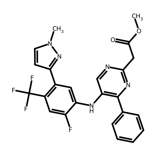 COC(=O)Cc1ncc(Nc2cc(-c3ccn(C)n3)c(C(F)(F)F)cc2F)c(-c2ccccc2)n1